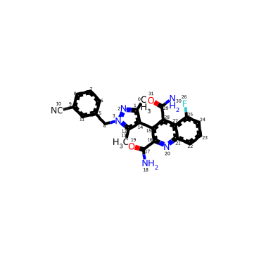 Cc1nn(Cc2cccc(C#N)c2)c(C)c1-c1c(C(N)=O)nc2cccc(F)c2c1C(N)=O